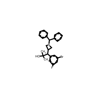 CC(C)(O)C(c1cc(F)cc(Br)c1)C1CN(C(c2ccccc2)c2ccccc2)C1